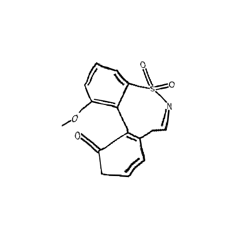 COc1cccc2c1C1=C(C=CCC1=O)C=NS2(=O)=O